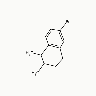 CC1CCc2cc(Br)ccc2C1C